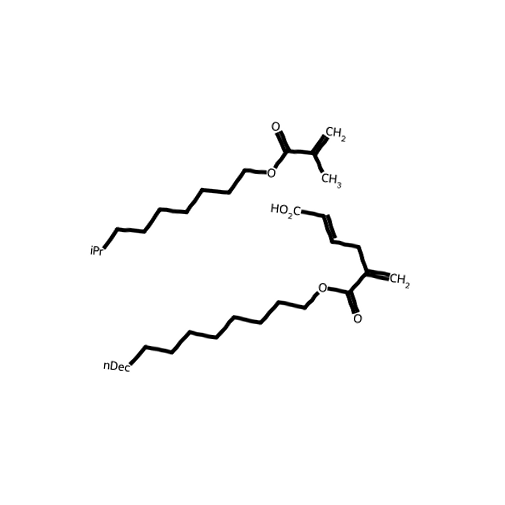 C=C(C)C(=O)OCCCCCCCC(C)C.C=C(CC=CC(=O)O)C(=O)OCCCCCCCCCCCCCCCCCC